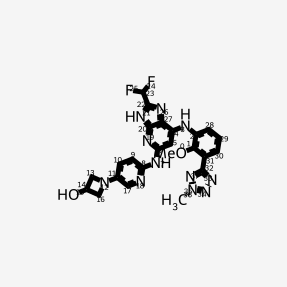 COc1c(Nc2cc(Nc3ccc(N4CC(O)C4)cn3)nc3[nH]c(C(F)F)nc23)cccc1-c1nnn(C)n1